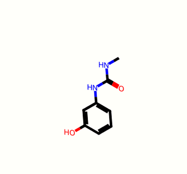 CNC(=O)Nc1cccc(O)c1